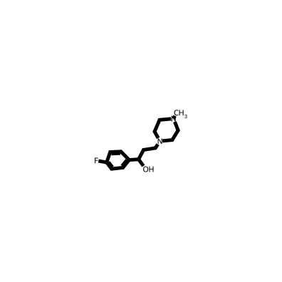 CN1CCN(CCC(O)c2ccc(F)cc2)CC1